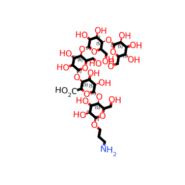 NCCCO[C@@H]1OC(CO)[C@@H](O[C@@H]2OC(C(=O)O)[C@@H](O[C@H]3OC(CO)[C@H](O[C@H]4OC(CO)[C@@H](O[C@@H]5OC(CO)[C@@H](O)C(O)[C@@H]5O)[C@H](O)C4O)[C@H](O)C3O)C(O)[C@@H]2O)C(O)[C@@H]1O